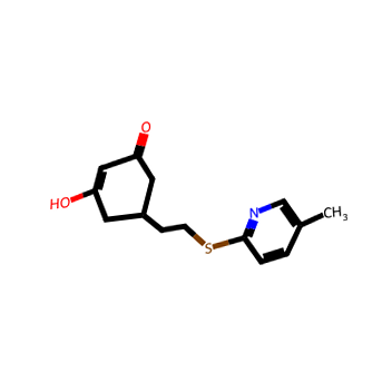 Cc1ccc(SCCC2CC(=O)C=C(O)C2)nc1